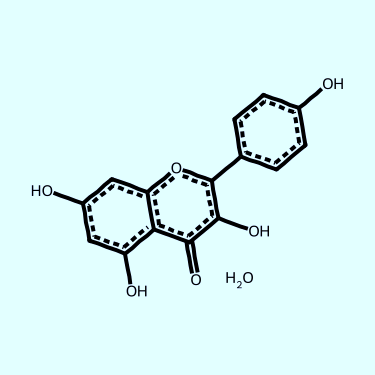 O.O=c1c(O)c(-c2ccc(O)cc2)oc2cc(O)cc(O)c12